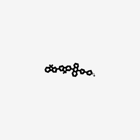 COc1ccc(-c2ccc(-c3c4ccccc4c(-c4ccc5c(c4)C(C)(C)c4cc(-c6ccc7c(c6)C(C)(C)c6ccccc6-7)ccc4-5)c4ccccc34)cc2)cc1